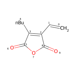 C=CC1=C(CCCC)C(=O)OC1=O